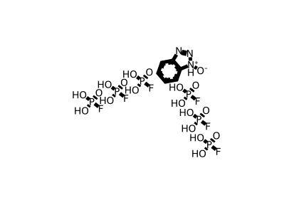 O=P(O)(O)F.O=P(O)(O)F.O=P(O)(O)F.O=P(O)(O)F.O=P(O)(O)F.O=P(O)(O)F.[O-][NH+]1N=Nc2ccccc21